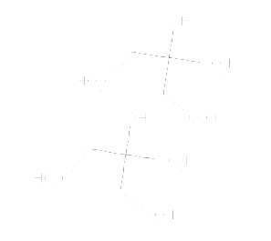 O=C(O)CC(O)(CC(=O)O)C(=O)O.O=C(O)CC(O)(CC(=O)O)C(=O)O